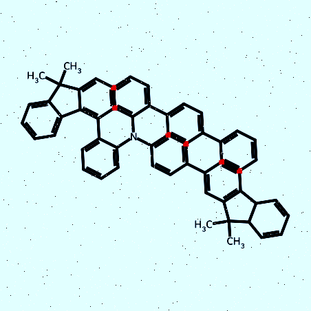 CC1(C)c2ccccc2-c2c(-c3ccccc3N(c3ccc(-c4ccc5c(c4)C(C)(C)C4C=CC=CC54)cc3)c3ccccc3-c3ccc(-c4ccccc4)cc3)cccc21